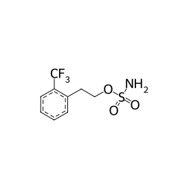 NS(=O)(=O)OCCc1ccccc1C(F)(F)F